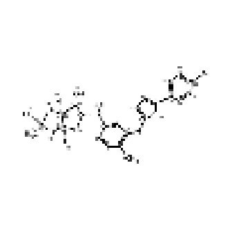 Cc1ccc(C(O)[C@@H]2O[C@H]3OC(C)(C)O[C@H]3[C@@H]2O)cc1Cc1ccc(-c2ccc(F)nc2)s1